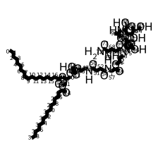 CCCCCCCC/C=C\CCCCCCCC(=O)O[C@H](COC(=O)CCCCCCCCCCCCCCC)COP(=O)(O)OCCNC(=O)CCC(=O)N[C@@H](C)C(=O)OCCCN(C(=O)CC[C@@H](N)C(N)=O)[C@](C)(CC(C)O[C@H]1[C@H](O)[C@@H](CO)O[C@H](O)[C@@H]1NC(C)=O)C(=O)O